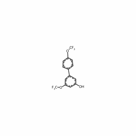 Oc1cc(OC(F)(F)F)cc(-c2ccc(OC(F)(F)F)cc2)c1